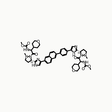 COC(=O)NC(C(=O)N1[C@H](c2nc(-c3ccc4cc(-c5ccc(-c6cnc([C@@H]7CCN(C)N7C(=O)C(NC(=O)OC)C7CCOCC7)[nH]6)cc5)ccc4c3)c[nH]2)CCN1C)C1CCOCC1